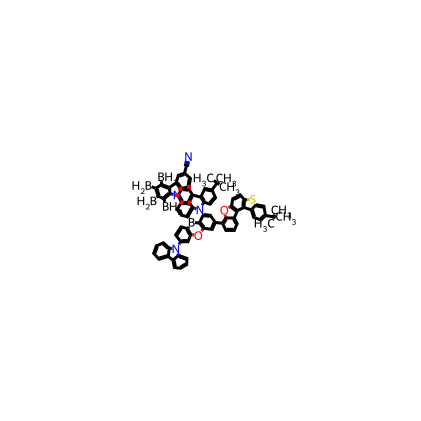 Bc1c(B)c(B)c2c(c1B)c1cc(C#N)ccc1n2-c1ccc2c(c1)N(c1ccc(C(C)(C)C)cc1-c1ccccc1)c1cc(-c3cccc4c3oc3ccc5sc6cc(C(C)(C)C)ccc6c5c34)cc3c1B2c1ccc(-n2c4ccccc4c4ccccc42)cc1O3